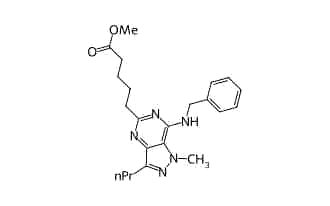 CCCc1nn(C)c2c(NCc3ccccc3)nc(CCCCC(=O)OC)nc12